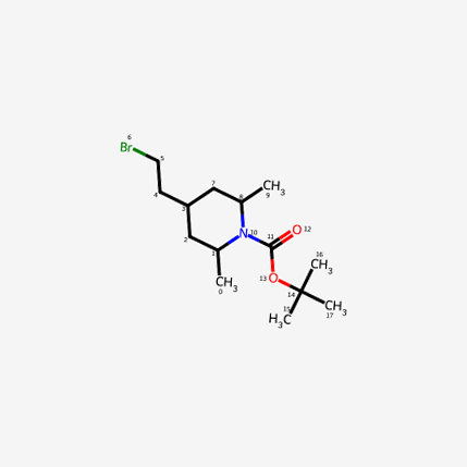 CC1CC(CCBr)CC(C)N1C(=O)OC(C)(C)C